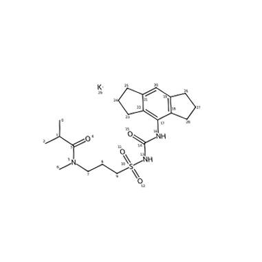 CC(C)C(=O)N(C)CCCS(=O)(=O)NC(=O)Nc1c2c(cc3c1CCC3)CCC2.[K]